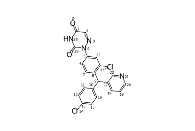 O=c1cnn(-c2ccc(C(c3ccc(Cl)cc3)c3cccnc3)c(Cl)c2)c(=O)[nH]1